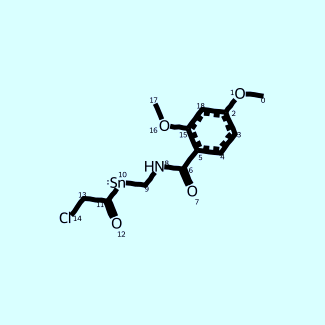 COc1ccc(C(=O)N[CH2][Sn][C](=O)CCl)c(OC)c1